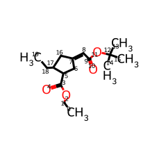 CCOC(=O)C1CC(=CC(=O)OC(C)(C)C)CC1CC